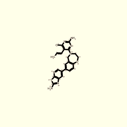 CC=Cc1c(Cl)nc(N)nc1N1CCOc2ccc(-c3cnc4sc(N)nc4c3)cc2C1